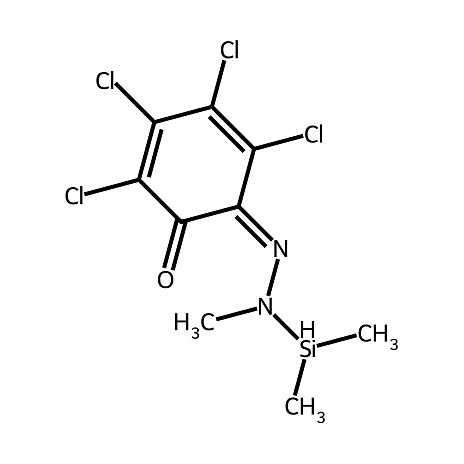 CN(N=C1C(=O)C(Cl)=C(Cl)C(Cl)=C1Cl)[SiH](C)C